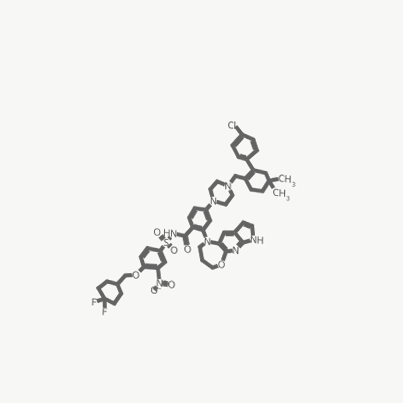 CC1(C)CCC(CN2CCN(c3ccc(C(=O)NS(=O)(=O)c4ccc(OCC5CCC(F)(F)CC5)c([N+](=O)[O-])c4)c(N4CCCOc5nc6[nH]ccc6cc54)c3)CC2)=C(c2ccc(Cl)cc2)C1